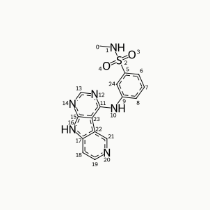 CNS(=O)(=O)c1cccc(Nc2ncnc3[nH]c4ccncc4c23)c1